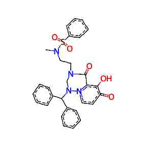 CN(CCN1CN(C(c2ccccc2)c2ccccc2)n2ccc(=O)c(O)c2C1=O)S(=O)(=O)c1ccccc1